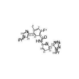 Cc1cc(F)c(C(=O)Nc2cccc(-c3nnnn3C(C)C)n2)cc1-c1cn(C(C)C)cn1